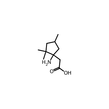 CC1CC(C)(C)C(N)(CC(=O)O)C1